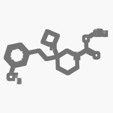 CC(C)(C)OC(=O)N1CCCC(CCc2cccc(C(F)(F)F)c2)(N2CCC2)C1